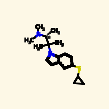 BC(B)([C@@H](C)N(C)C)n1ccc2cc(SC3CC3)ccc21